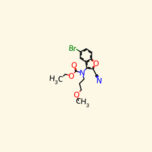 CCOC(=O)N(CCCOC)c1c(C#N)oc2ccc(Br)cc12